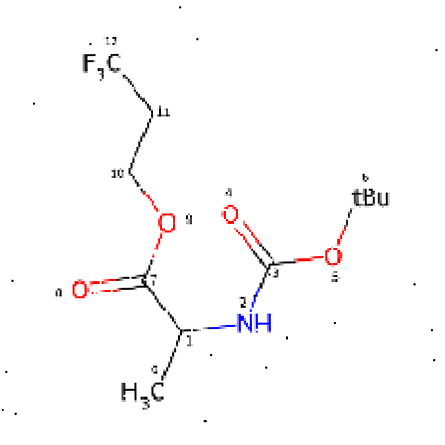 CC(NC(=O)OC(C)(C)C)C(=O)OCCC(F)(F)F